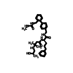 CNC(=O)NCc1ccccc1-c1ccc(CNC(=O)[C@@H](CCCc2ccccc2)NC(=O)CC(C)(C)NC[C@@H](C)O)cc1